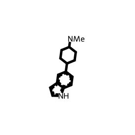 CNC1CCC(c2ccc3[nH]ccc3c2)CC1